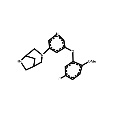 COc1ccc(F)cc1Oc1cncc(N2CC3CNC(C3)C2)c1